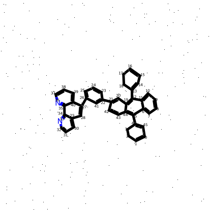 C1=CCCC(c2c3ccccc3c(C3=CC=CCC3)c3cc(-c4cccc(-c5cc6cccnc6c6ncccc56)c4)ccc23)=C1